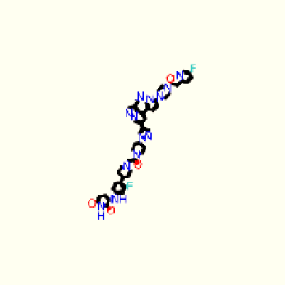 N#Cc1cnn2cc(-c3cnn(C4CCN(C(=O)CN5CCC(c6ccc(NC7CCC(=O)NC7=O)cc6F)CC5)CC4)c3)cc(-c3ccc(N4CCN(C(=O)Cc5ccc(F)cn5)CC4)nc3)c12